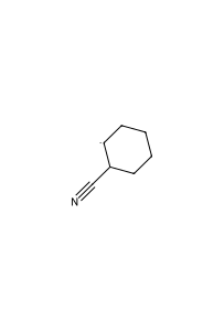 N#CC1[CH]CCCC1